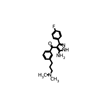 CN(C)CCCc1cccc(C(=O)c2c(-c3ccc(F)cc3)n[nH]c2N)c1